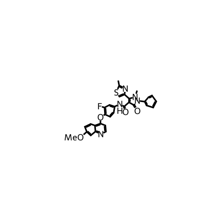 COc1ccc2c(Oc3ccc(NC(=O)c4c(-c5csc(C)n5)n(C)n(-c5ccccc5)c4=O)cc3F)ccnc2c1